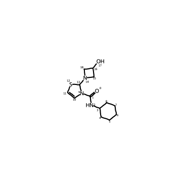 O=C(NC1CCCCC1)N1C=CSC1N1CC(O)C1